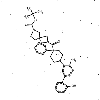 CC(C)(C)OC(=O)N1CCC2(C1)CN(C(=O)C1(c3ccccc3)CCN(c3cc(-c4ccccc4O)nnc3N)CC1)C2